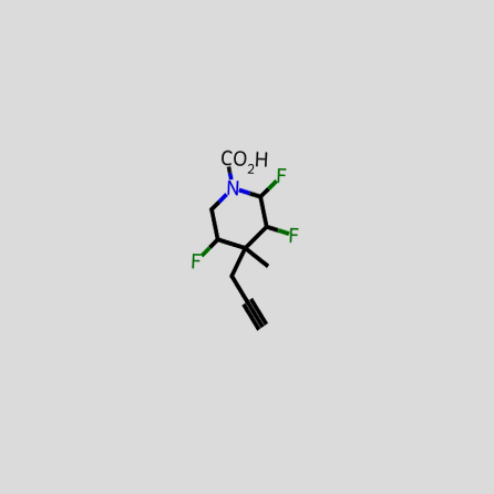 C#CCC1(C)C(F)CN(C(=O)O)C(F)C1F